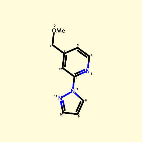 COCc1ccnc(-n2c[c]cn2)c1